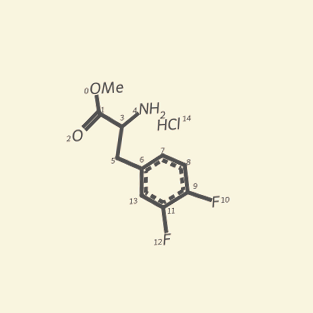 COC(=O)C(N)Cc1ccc(F)c(F)c1.Cl